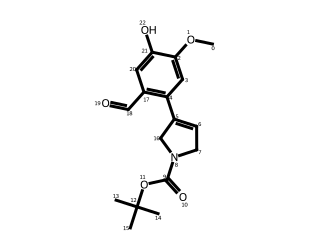 COc1cc(C2=CCN(C(=O)OC(C)(C)C)C2)c(C=O)cc1O